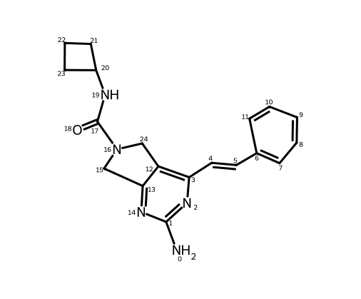 Nc1nc(C=Cc2ccccc2)c2c(n1)CN(C(=O)NC1CCC1)C2